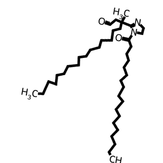 CCCCCCCCCCCCCCCCCC(=O)N1CCN=C1C(C)(CC=O)CCCCCCCCCCCCCCCC